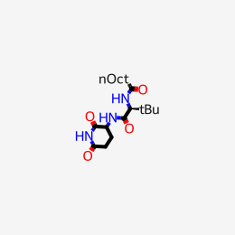 CCCCCCCCC(=O)N[C@H](C(=O)NC1CCC(=O)NC1=O)C(C)(C)C